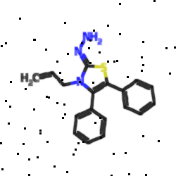 C=CCn1c(-c2ccccc2)c(-c2ccccc2)sc1=NN